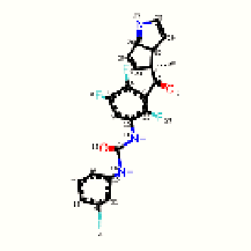 C[C@]1(C(=O)c2c(F)c(F)cc(NC(=O)Nc3cccc(F)c3)c2F)C=CC2=NC=CC21